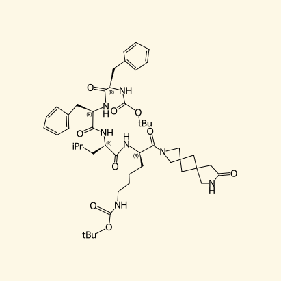 CC(C)C[C@@H](NC(=O)[C@@H](Cc1ccccc1)NC(=O)[C@@H](Cc1ccccc1)NC(=O)OC(C)(C)C)C(=O)N[C@H](CCCCNC(=O)OC(C)(C)C)C(=O)N1CC2(C1)CC1(CNC(=O)C1)C2